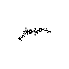 CC(=O)OCCOC(=O)N=C(N)c1ccc(C(=O)NC(C)C(=O)c2ccc(OCC(=O)O)cc2)cc1